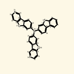 c1ccc2c(c1)sc1cc(N(c3ccc4c(c3)oc3ccncc34)c3ccc4c(c3)oc3ccncc34)ccc12